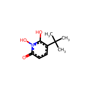 CC(C)(C)c1ccc(=O)n(O)c1O